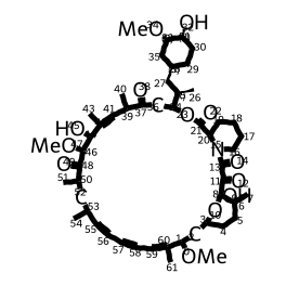 COC1CC2CCC(C)C(O)(O2)C(=O)C(=O)N2CCCCC2C(=O)OC([C@H](C)C[C@@H]2CC[C@@H](O)[C@H](OC)C2)CC(=O)C(C)C=C(C)C(O)C(OC)C(=O)C(C)CC(C)C=CC=CC=C1C